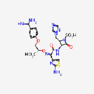 N=C(N)c1ccc(OC[C@H](O/N=C(\C(=O)N[C@@H]2C(=O)N(S(=O)(=O)O)[C@@H]2Cn2cncn2)c2csc(N)n2)C(=O)O)cc1